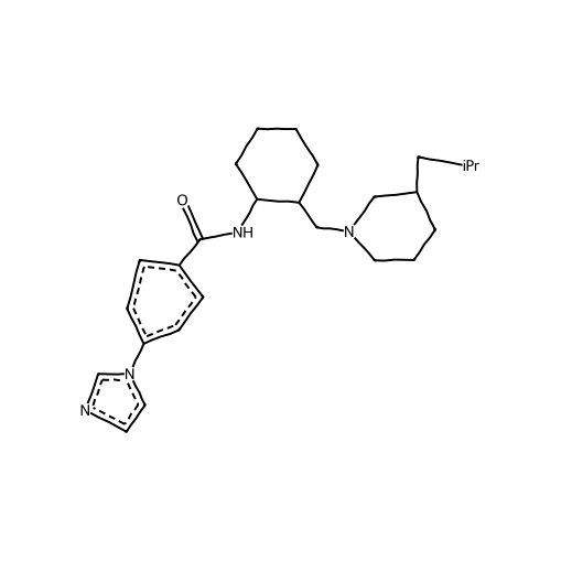 CC(C)CC1CCCN(CC2CCCCC2NC(=O)c2ccc(-n3ccnc3)cc2)C1